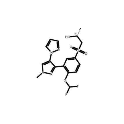 C[C@@H](O)CS(=O)(=O)c1ccc(OC(F)F)c(-c2nn(C)cc2-n2cccn2)c1